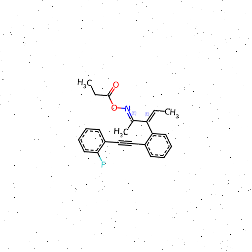 C/C=C(/C(C)=N/OC(=O)CC)c1ccccc1C#Cc1ccccc1F